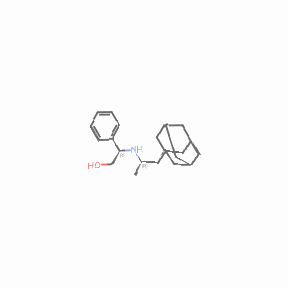 C[C@H](CC12CC3CC(CC(C3)C1)C2)N[C@@H](CO)c1ccccc1